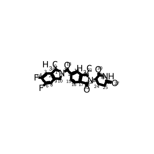 C[C@H]1c2cc(F)c(F)cc2CN1C(=O)c1ccc2c(c1)[C@H](C)N([C@H]1CCC(=O)NC1=O)C2=O